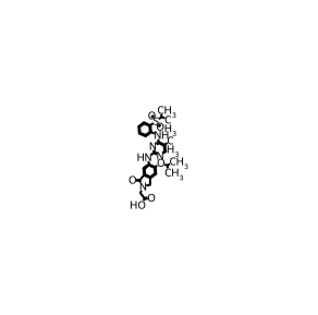 Cc1cnc(Nc2cc3c(cc2OC(C)C)CN(CC(=O)O)C3=O)nc1Nc1ccccc1S(=O)(=O)C(C)C